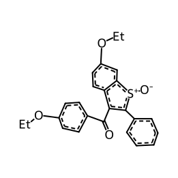 CCOc1ccc(C(=O)c2c(-c3ccccc3)[s+]([O-])c3cc(OCC)ccc23)cc1